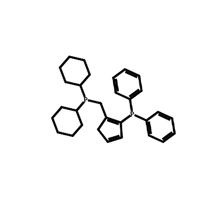 C1=CC(P(c2ccccc2)c2ccccc2)=C(CP(C2CCCCC2)C2CCCCC2)C1